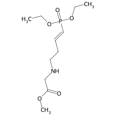 CCOP(=O)(/C=C/CCNCC(=O)OC)OCC